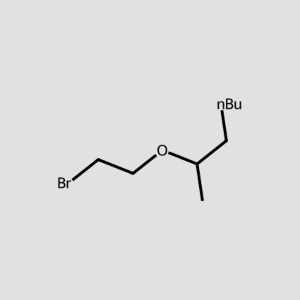 CCCCCC(C)OCCBr